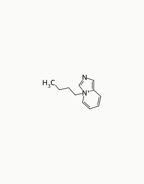 CCCC[N+]12C=CC=CC1=CN=C2